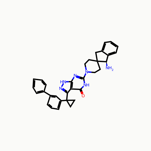 N[C@@H]1c2ccccc2CC12CCN(c1nc3[nH]nc(C4(c5cccc(-c6ccccc6)c5)CC4)c3c(=O)[nH]1)CC2